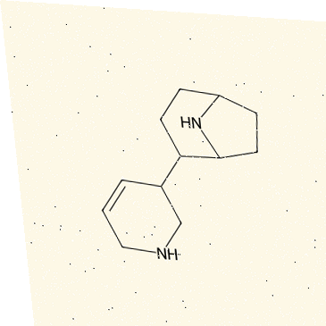 C1=CC(C2CCC3CCC2N3)CNC1